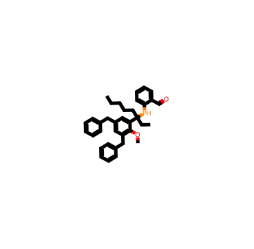 CCCCCC(CC)(Pc1ccccc1C=O)c1cc(Cc2ccccc2)cc(Cc2ccccc2)c1OC